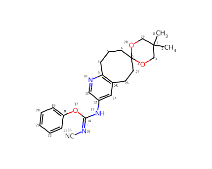 CC1(C)COC2(CCCc3ncc(N/C(=N/C#N)Oc4ccccc4)cc3CC2)OC1